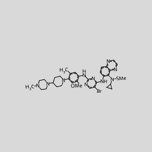 COc1cc(N2CCC(N3CCN(C)CC3)CC2)c(C)cc1Nc1ncc(Br)c(Nc2ccc3nccnc3c2N(SC)C2CC2)n1